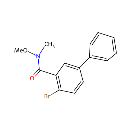 CON(C)C(=O)c1cc(-c2ccccc2)ccc1Br